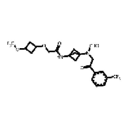 O=CN(CC(=O)c1cccc(C(F)(F)F)c1)C12CC(NC(=O)COC3CC(OC(F)(F)F)C3)(C1)C2